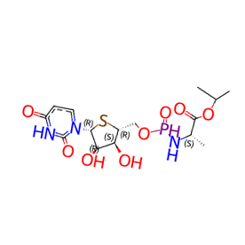 CC(C)OC(=O)[C@H](C)N[PH](=O)OC[C@H]1S[C@@H](n2ccc(=O)[nH]c2=O)[C@H](O)[C@@H]1O